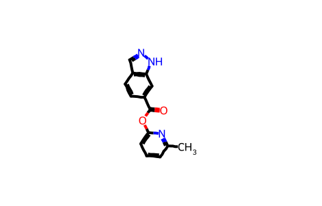 Cc1cccc(OC(=O)c2ccc3cn[nH]c3c2)n1